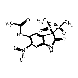 CC(=O)Nc1cc2c(cc1[N+](=O)[O-])NC(=O)C2(S(C)(=O)=O)S(C)(=O)=O